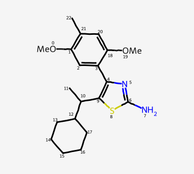 COc1cc(-c2nc(N)sc2C(C)C2CCCCC2)c(OC)cc1C